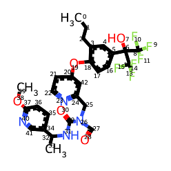 CCCc1cc(C(O)(C(F)(F)F)C(F)(F)F)ccc1Oc1ccnc(CN(C=O)C(=O)NC(C)c2ccc(OC)nc2)c1